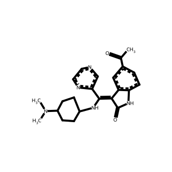 CC(=O)c1ccc2c(c1)/C(=C(/NC1CCC(N(C)C)CC1)c1cnccn1)C(=O)N2